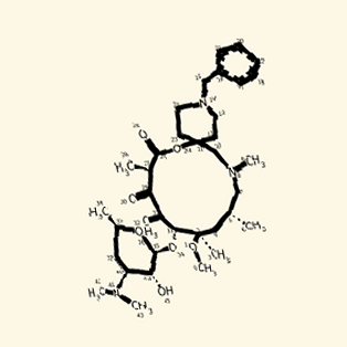 CO[C@]1(C)C[C@@H](C)CN(C)CC2(CCN(Cc3ccccc3)CC2)OC(=O)[C@H](C)C(=O)C(C)[C@H]1O[C@@H]1O[C@H](C)C[C@H](N(C)C)[C@H]1O